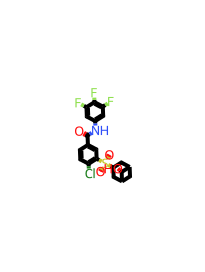 O=C(Nc1cc(F)c(F)c(F)c1)c1ccc(Cl)c(S(=O)(=O)C2CC3CC(C2)C3O)c1